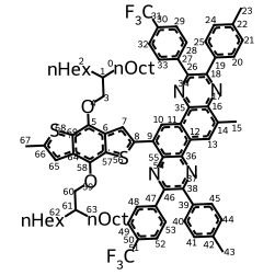 CCCCCCCCC(CCCCCC)COc1c2cc(-c3cc4c(cc(C)c5nc(-c6ccc(C)cc6)c(-c6ccc(C(F)(F)F)cc6)nc54)c4nc(-c5ccc(C)cc5)c(-c5ccc(C(F)(F)F)cc5)nc34)sc2c(OCC(CCCCCC)CCCCCCCC)c2cc(C)sc12